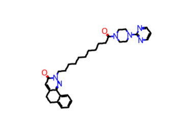 O=C(CCCCCCCCCCn1nc2c(cc1=O)CCc1ccccc1-2)N1CCN(c2ncccn2)CC1